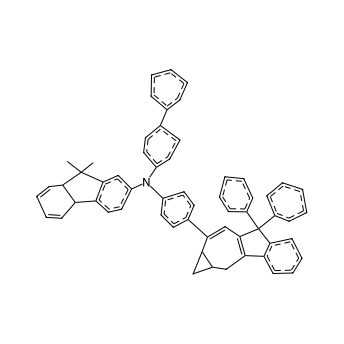 CC1(C)c2cc(N(c3ccc(C4=CC5=C(CC6CC46)c4ccccc4C5(c4ccccc4)c4ccccc4)cc3)c3ccc(-c4ccccc4)cc3)ccc2C2C=CC=CC21